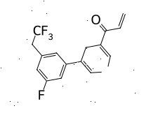 C=CC(=O)/C(=C/C)C/C(=C\C)c1cc(F)cc(CC(F)(F)F)c1